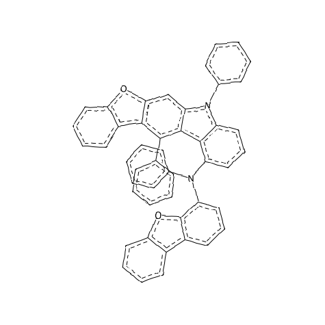 c1ccc(-c2c3c(cc4c2c2c(N(c5ccccc5)c5cccc6c5oc5ccccc56)cccc2n4-c2ccccc2)oc2ccccc23)cc1